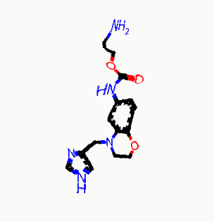 NCCOC(=O)Nc1ccc2c(c1)N(Cc1c[nH]cn1)CCO2